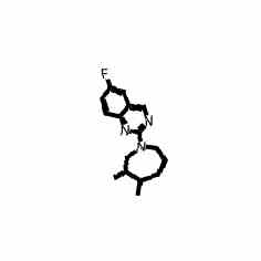 CC1CCCN(c2ncc3cc(F)ccc3n2)CC1C